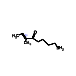 C/C=C(\C)C(=O)CCCCN